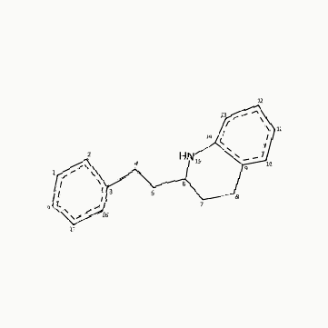 c1ccc(CCC2CCc3ccccc3N2)cc1